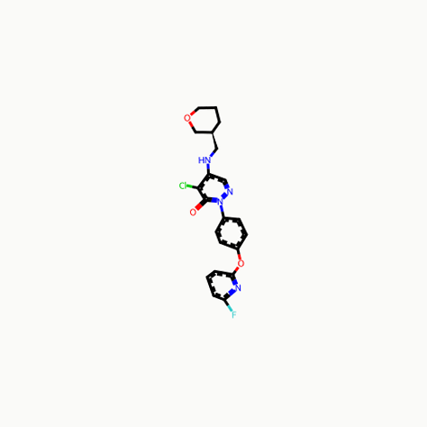 O=c1c(Cl)c(NC[C@@H]2CCCOC2)cnn1-c1ccc(Oc2cccc(F)n2)cc1